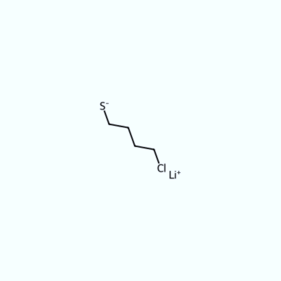 [Li+].[S-]CCCCCl